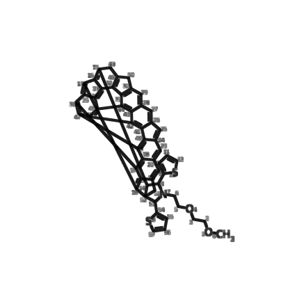 COCCOCCN1C(c2cccs2)C2C3=c4c5c6c7c(cc8cc9cc%10cc%11cc%12c%13c(c4c4c5c5c7c8c7c9c%10c8c%11c%13c4c8c75)=C(C3)C%12)CC62C1c1cccs1